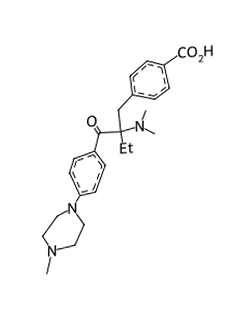 CCC(Cc1ccc(C(=O)O)cc1)(C(=O)c1ccc(N2CCN(C)CC2)cc1)N(C)C